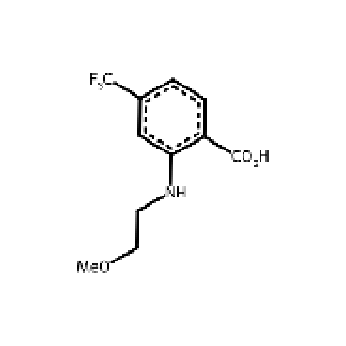 COCCNc1cc(C(F)(F)F)ccc1C(=O)O